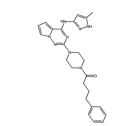 Cc1cc(Nc2nc(N3CCN(C(=O)CCCc4ccccc4)CC3)nn3cccc23)n[nH]1